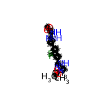 CC(C)(C)OC(=O)N1CCC[C@@H]1c1ncc(-c2ccc3c(c2)C(F)(F)c2cc(-c4ccc5nc([C@@H]6CC7(CN6)OCCO7)[nH]c5c4)ccc2-3)[nH]1